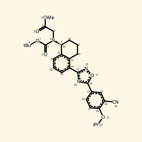 COC(=O)CN(C(=O)OC(C)(C)C)[C@H]1CCCc2c(-c3noc(-c4ccc(OC(C)C)c(C#N)c4)n3)cccc21